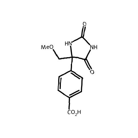 COCC1(c2ccc(C(=O)O)cc2)NC(=O)NC1=O